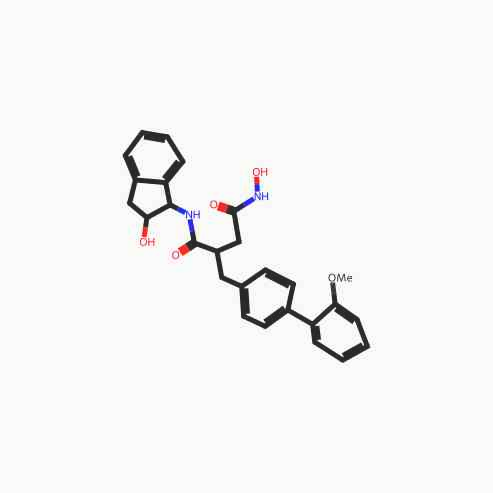 COc1ccccc1-c1ccc(CC(CC(=O)NO)C(=O)NC2c3ccccc3CC2O)cc1